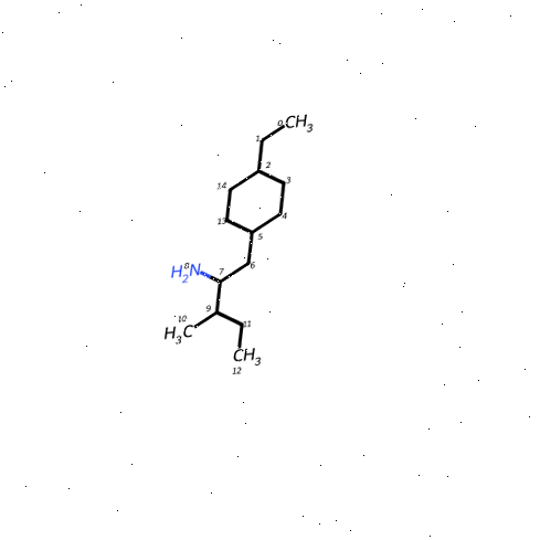 CCC1CCC(CC(N)C(C)CC)CC1